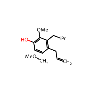 C=CCc1ccc(O)c(OC)c1CC(C)C.COC